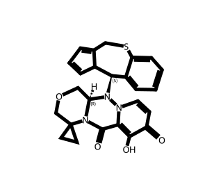 O=C1c2c(O)c(=O)ccn2N([C@@H]2c3ccccc3SCC3=CC=CC32)[C@@H]2COCC3(CC3)N12